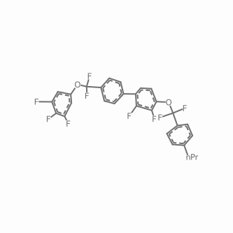 CCCc1ccc(C(F)(F)Oc2ccc(-c3ccc(C(F)(F)Oc4cc(F)c(F)c(F)c4)cc3)c(F)c2F)cc1